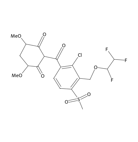 COC1CC(OC)C(=O)C(C(=O)c2ccc(S(C)(=O)=O)c(COC(F)C(F)F)c2Cl)C1=O